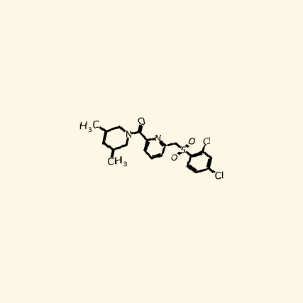 CC1CC(C)CN(C(=O)c2cccc(CS(=O)(=O)c3ccc(Cl)cc3Cl)n2)C1